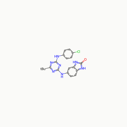 CC(C)(C)c1nc(Nc2ccc(Cl)cc2)nc(Nc2ccc3[nH]c(=O)[nH]c3c2)n1